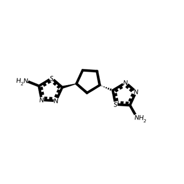 Nc1nnc([C@H]2CC[C@H](c3nnc(N)s3)C2)s1